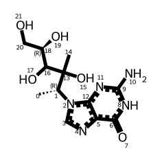 C[C@@H](n1cnc2c(=O)[nH]c(N)nc21)C(C)(O)C(O)[C@H](O)CO